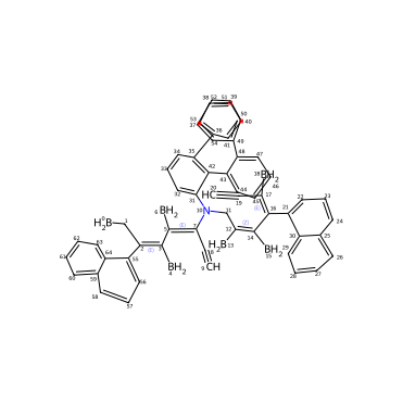 BC/C(=C(B)\C(B)=C(/C#C)N(C/C(B)=C(B)\C(=C(\B)C#C)c1cccc2ccccc12)c1cccc(-c2ccccc2)c1-c1ccccc1-c1ccccc1)c1cccc2ccccc12